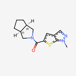 Cn1ncc2cc(C(=O)N3C[C@H]4CCC[C@H]4C3)sc21